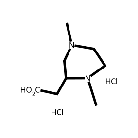 CN1CCN(C)C(CC(=O)O)C1.Cl.Cl